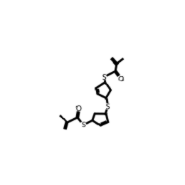 C=C(C)C(=O)SC1C=CC(SC2C=CC(SC(=O)C(=C)C)C2)C1